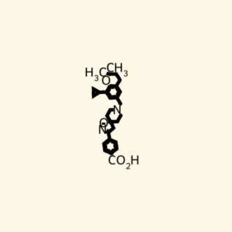 CC1(C)CCc2cc(CN3CCC4(CC3)CC(c3ccc(C(=O)O)cc3)=NO4)cc(C3CC3)c2O1